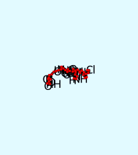 CC1(C)CCC(CN2CCN(c3ccc(C(=O)NS(=O)(=O)c4ccc(NCC5CCCN(CCOCCCC#Cc6ccc7c(c6)CN(C6CCC(=O)NC6=O)C7=O)C5)c([N+](=O)[O-])c4)c(Oc4cnc5[nH]ccc5c4)c3)CC2)=C(c2ccc(Cl)cc2)C1